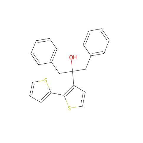 OC(Cc1ccccc1)(Cc1ccccc1)c1ccsc1-c1cccs1